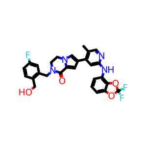 Cc1cnc(Nc2cccc3c2OC(F)(F)O3)cc1-c1cc2n(c1)CCN(Cc1cc(F)ccc1CO)C2=O